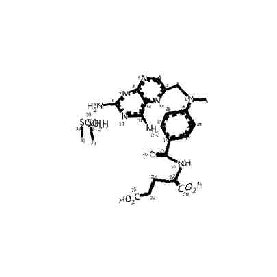 CN(Cc1cnc2nc(N)nc(N)c2n1)c1ccc(C(=O)NC(CCC(=O)O)C(=O)O)cc1.CS(=O)(=O)O.CS(=O)(=O)O